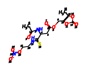 CC(=O)NC(CC(=O)OCc1oc(=O)oc1C)C(=S)NCCO[N+](=O)[O-]